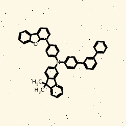 CC1(C)c2ccccc2-c2cc(N(c3ccc(-c4cccc(-c5ccccc5)c4)cc3)c3ccc(-c4cccc5c4oc4ccccc45)cc3)ccc21